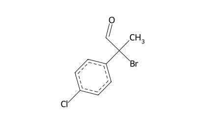 CC(Br)(C=O)c1ccc(Cl)cc1